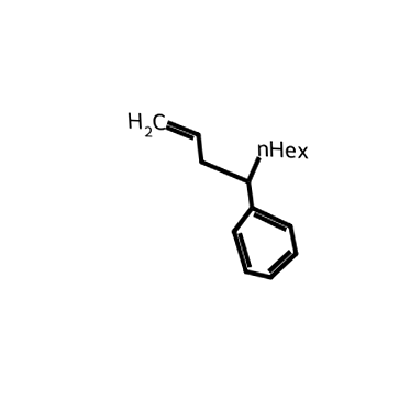 C=CCC(CCCCCC)c1ccccc1